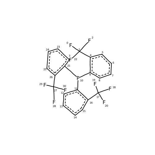 FC(F)(F)c1ccccc1P(c1ccccc1C(F)(F)F)c1ccccc1C(F)(F)F